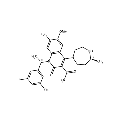 COc1cc2c(N3CCN[C@@H](C)CC3)c(C(N)=O)c(=O)n([C@@H](C)c3cc(F)cc(C#N)c3)c2cc1C(F)(F)F